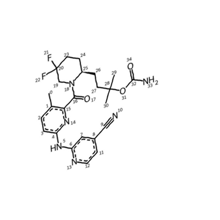 Cc1ccc(Nc2cc(C#N)ccn2)nc1C(=O)N1CC(F)(F)CC[C@H]1CCC(C)(C)OC(N)=O